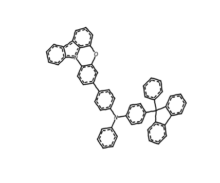 c1ccc(N(c2ccc(-c3ccc4c(c3)Oc3cccc5c6ccccc6n-4c35)cc2)c2ccc(C3(c4ccccc4)c4ccccc4-c4ccccc43)cc2)cc1